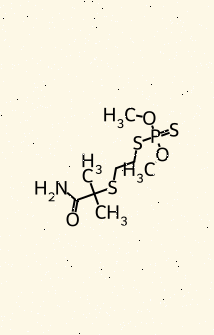 COP(=S)(OC)SCCSC(C)(C)C(N)=O